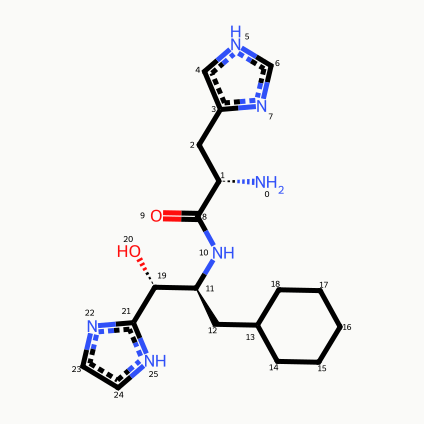 N[C@@H](Cc1c[nH]cn1)C(=O)N[C@@H](CC1CCCCC1)[C@@H](O)c1ncc[nH]1